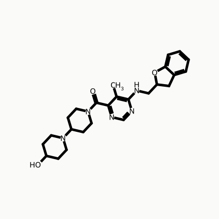 Cc1c(NCC2Cc3ccccc3O2)ncnc1C(=O)N1CCC(N2CCC(O)CC2)CC1